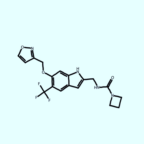 O=C(NCc1cc2cc(C(F)(F)F)c(OCc3ccon3)cc2[nH]1)N1CCC1